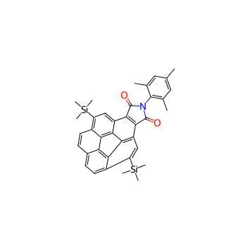 Cc1cc(C)c(-n2c(=O)c3c4cc([Si](C)(C)C)c5ccc6ccc7c([Si](C)(C)C)cc(c3c2=O)c2c7c6c5c42)c(C)c1